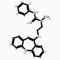 CN(CCSC1=Cc2ccccc2Oc2ccccc21)C(=O)Oc1ccccc1